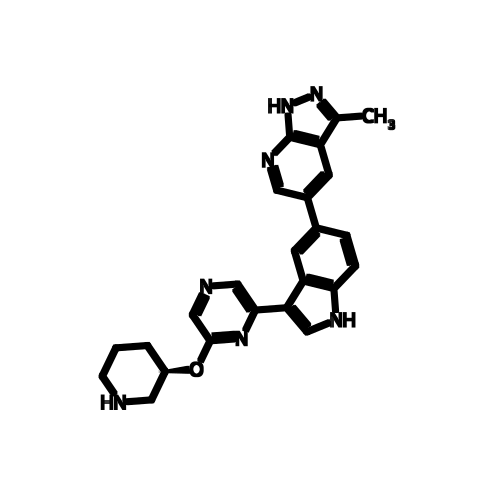 Cc1n[nH]c2ncc(-c3ccc4[nH]cc(-c5cncc(O[C@@H]6CCCNC6)n5)c4c3)cc12